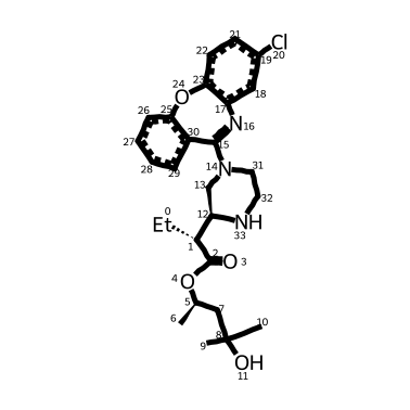 CC[C@@H](C(=O)O[C@H](C)CC(C)(C)O)[C@H]1CN(C2=Nc3cc(Cl)ccc3Oc3ccccc32)CCN1